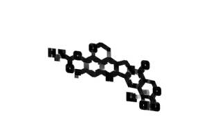 CC[C@@]1(O)C(=O)OCc2c1cc1n(c2=O)Cc2c-1nc1cc(F)c(OC(N)=O)c3c1c2CCO3